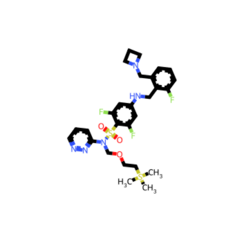 CS(C)(C)CCOCN(c1cccnn1)S(=O)(=O)c1c(F)cc(NCc2c(F)cccc2CN2CCC2)cc1F